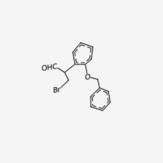 O=CC(CBr)c1ccccc1OCc1ccccc1